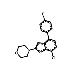 Fc1ccc(-c2ccc(Cl)c3sc(N4CCOCC4)cc23)cc1